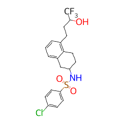 O=S(=O)(NC1CCc2c(CCC(O)C(F)(F)F)cccc2C1)c1ccc(Cl)cc1